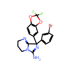 NC1=NC(c2cccc(Br)c2)(c2ccc3c(c2)OC(F)(F)O3)C2=NCCCN12